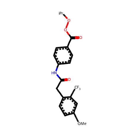 COc1ccc(CC(=O)Nc2ccc(C(=O)OOC(C)C)cc2)c(C(F)(F)F)c1